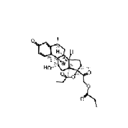 CCC(=O)OCC(=O)[C@@]1(OC(=O)CC)[C@@H](C)C[C@H]2[C@@H]3C[C@H](C)C4=CC(=O)C=C[C@]4(C)[C@@]3(Br)[C@@H](O)C[C@@]21C